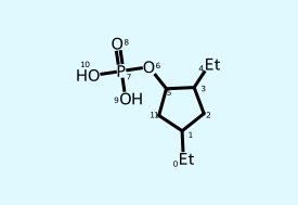 CCC1CC(CC)C(OP(=O)(O)O)C1